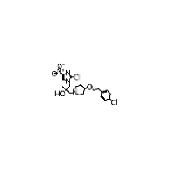 C[C@](O)(CN1CCC(OCCc2ccc(Cl)cc2)CC1)Cn1cc([N+](=O)[O-])nc1Cl